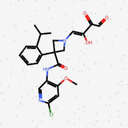 COc1cc(Cl)ncc1NC(=O)C1(c2ccccc2C(C)C)CN(C=C(O)C(=O)C=O)C1